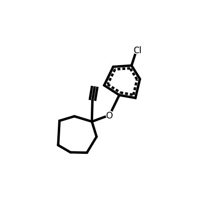 C#CC1(Oc2ccc(Cl)cc2)CCCCCC1